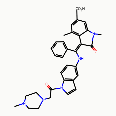 Cc1cc(C(=O)O)cc2c1/C(=C(/Nc1ccc3c(ccn3C(=O)CN3CCN(C)CC3)c1)c1ccccc1)C(=O)N2C